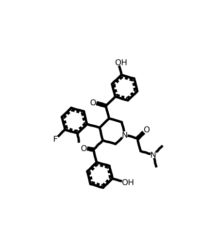 Cc1c(F)cccc1C1C(C(=O)c2cccc(O)c2)CN(C(=O)CN(C)C)CC1C(=O)c1cccc(O)c1